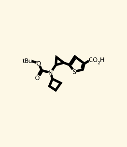 CC(C)(C)OC(=O)N(C1CCC1)C1CC1c1cc(C(=O)O)cs1